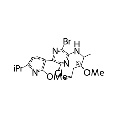 C=CC[C@H](OC)C(C)Nc1nc(Cl)c(-c2ccc(C(C)C)nc2OC)nc1Br